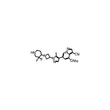 COc1cc(-c2cnn(C3CN(C4CCNCC4(F)F)C3)c2C)cn2ncc(C#N)c12